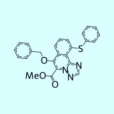 COC(=O)c1c(OCc2ccccc2)c2cccc(Sc3ccccc3)c2c2ncnn12